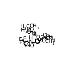 CC(C)(C)OC(=O)N1CC(Oc2cc(C(=O)Nc3cc(C(F)(F)F)ccn3)ccc2B2OC(C)(C)C(C)(C)O2)C1